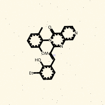 CCc1cccc(/C=C/c2nc3cnccc3c(=O)n2-c2c(C)cccc2OC)c1O